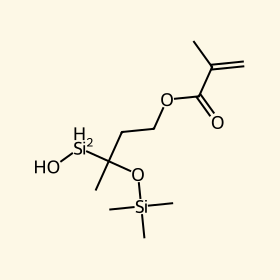 C=C(C)C(=O)OCCC(C)(O[Si](C)(C)C)[SiH2]O